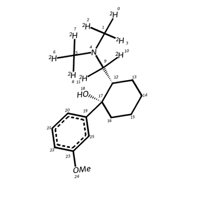 [2H]C([2H])([2H])N(C([2H])([2H])[2H])C([2H])([2H])[C@@H]1CCCC[C@@]1(O)c1cccc(OC)c1